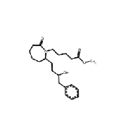 COC(=O)CCCCN1C(=O)CCCCC1CCC(O)Cc1ccccc1